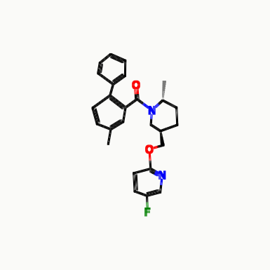 Cc1ccc(-c2ccccc2)c(C(=O)N2C[C@H](COc3ccc(F)cn3)CC[C@H]2C)c1